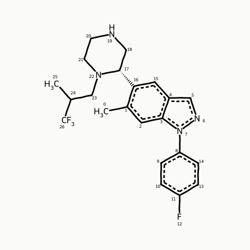 Cc1cc2c(cnn2-c2ccc(F)cc2)cc1[C@H]1CNCCN1CC(C)C(F)(F)F